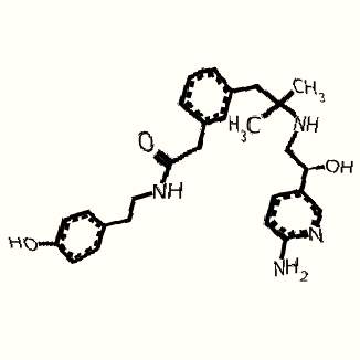 CC(C)(Cc1cccc(CC(=O)NCCc2ccc(O)cc2)c1)NC[C@@H](O)c1ccc(N)nc1